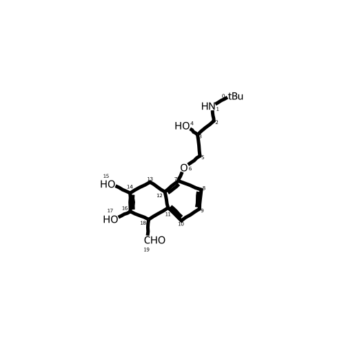 CC(C)(C)NCC(O)COc1cccc2c1CC(O)=C(O)C2C=O